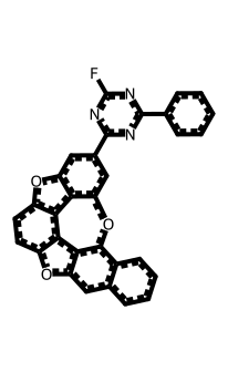 Fc1nc(-c2ccccc2)nc(-c2cc3oc4ccc5oc6cc7ccccc7c7oc(c2)c3c4c5c67)n1